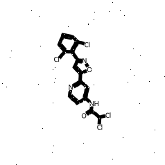 O=C(Nc1ccnc(-c2cc(-c3c(Cl)cccc3Cl)no2)c1)C(Cl)Cl